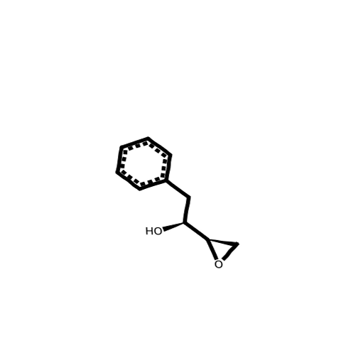 O[C@@H](Cc1ccccc1)[C@H]1CO1